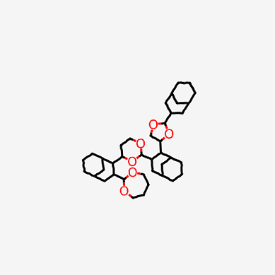 C1CCOC(C2CC3CCCC(C3)C2C2CCOC(C3CC4CCCC(C4)C3C3COC(C4CC5CCCC(C5)C4)O3)O2)OC1